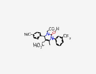 CC1=C(C(=O)O)C(c2ccc(C#N)cc2)N(CC(=O)O)C(=O)N1c1cccc(C(F)(F)F)c1